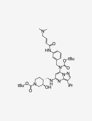 CC(C)c1cnn2c(N(Cc3cccc(NC(=O)/C=C/CN(C)C)c3)C(=O)OC(C)(C)C)cc(NC[C@H]3CCN(C(=O)OC(C)(C)C)C[C@@H]3O)nc12